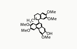 COc1cc2c(cc1O)cc(C1c3cc(OC)c(OC)cc3CCN1C)c1cc(OC)c(OC)cc12